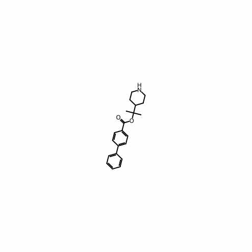 CC(C)(OC(=O)c1ccc(-c2ccccc2)cc1)C1CCNCC1